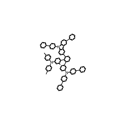 Cc1ccc(N(c2ccc(C)cc2)c2ccc(-c3c(-c4cccc(N(c5ccc(-c6ccccc6)cc5)c5ccc(-c6ccccc6)cc5)c4)cccc3-c3ccc4c(c3)c3cc(-c5ccccc5)ccc3n4-c3ccc(-c4ccccc4)cc3)c(C)c2)cc1